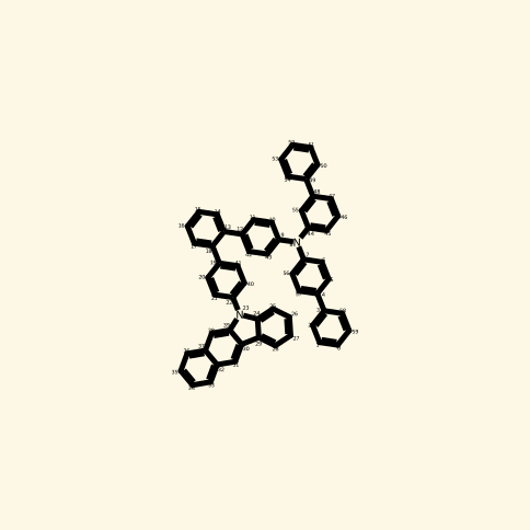 c1ccc(-c2ccc(N(c3ccc(-c4ccccc4-c4ccc(-n5c6ccccc6c6cc7ccccc7cc65)cc4)cc3)c3cccc(-c4ccccc4)c3)cc2)cc1